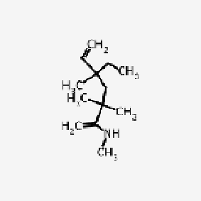 C=CC(C)(CC)CC(C)(C)C(=C)NC